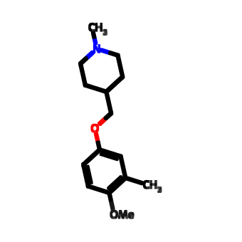 COc1ccc(OCC2CCN(C)CC2)cc1C